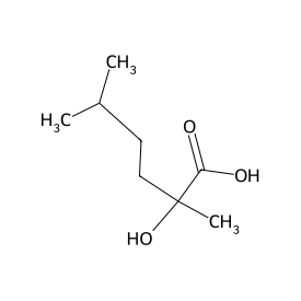 CC(C)CCC(C)(O)C(=O)O